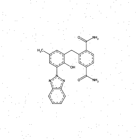 Cc1cc(Cc2cc(C(N)=O)ccc2C(N)=O)c(O)c(-n2nc3ccccc3n2)c1